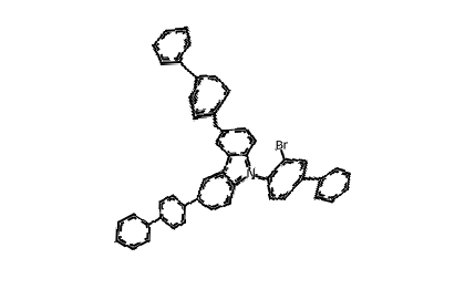 Brc1cc(-c2ccccc2)ccc1-n1c2ccc(-c3ccc(-c4ccccc4)cc3)cc2c2cc(-c3ccc(-c4ccccc4)cc3)ccc21